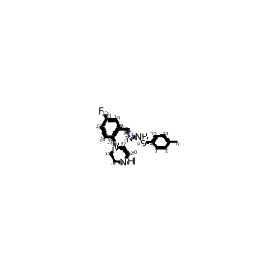 Cc1ccc(SN/N=C/c2cc(F)ccc2N2CCNCC2)cc1